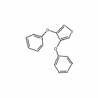 c1ccc(Oc2cscc2Oc2ccccc2)cc1